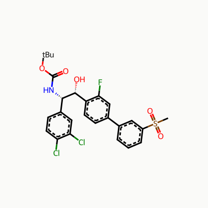 CC(C)(C)OC(=O)N[C@@H](c1ccc(Cl)c(Cl)c1)[C@H](O)c1ccc(-c2cccc(S(C)(=O)=O)c2)cc1F